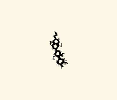 CCCC1CC[C@@H]2C[C@H](c3cc(F)c(-c4ccc(F)c(F)c4)c(F)c3)CC[C@@H]2C1